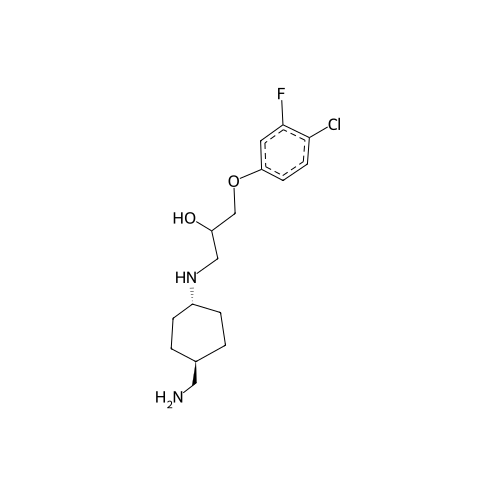 NC[C@H]1CC[C@H](NCC(O)COc2ccc(Cl)c(F)c2)CC1